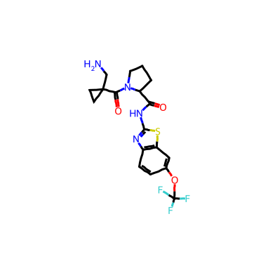 NCC1(C(=O)N2CCCC2C(=O)Nc2nc3ccc(OC(F)(F)F)cc3s2)CC1